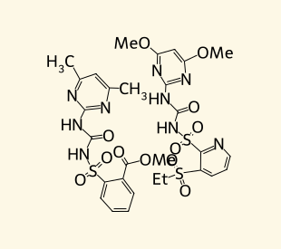 CCS(=O)(=O)c1cccnc1S(=O)(=O)NC(=O)Nc1nc(OC)cc(OC)n1.COC(=O)c1ccccc1S(=O)(=O)NC(=O)Nc1nc(C)cc(C)n1